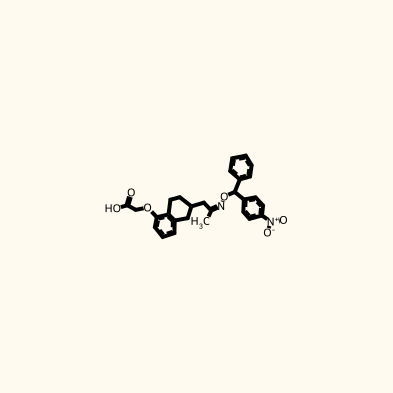 C/C(CC1CCc2c(cccc2OCC(=O)O)C1)=N/OC(c1ccccc1)c1ccc([N+](=O)[O-])cc1